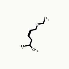 CC(N)C/C=C\COCC(F)(F)F